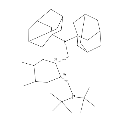 CC1C[C@H](CP(C23CC4CC(CC(C4)C2)C3)C23CC4CC(CC(C4)C2)C3)[C@H](CP(C(C)(C)C)C(C)(C)C)CC1C